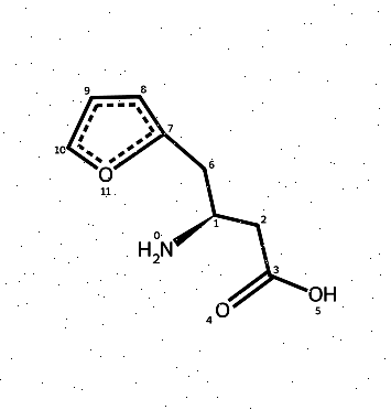 N[C@H](CC(=O)O)Cc1ccco1